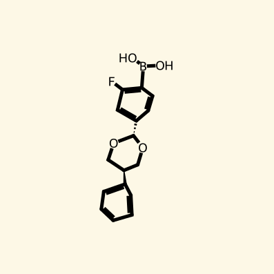 OB(O)c1ccc([C@H]2OC[C@H](c3ccccc3)CO2)cc1F